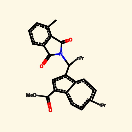 CCCC(c1cc(C(=O)OC)c2ccc(C(C)C)ccc1-2)N1C(=O)c2cccc(C)c2C1=O